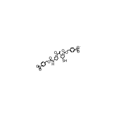 C=C(C(=O)N1CC[C@H](NC(=O)OCc2ccc([N+](=O)[O-])cc2)C1)[C@@H]1C[C@H](S)CN1C(=O)OCc1ccc([N+](=O)[O-])cc1